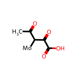 CC(=O)[CH]([Mo])C(=O)C(=O)O